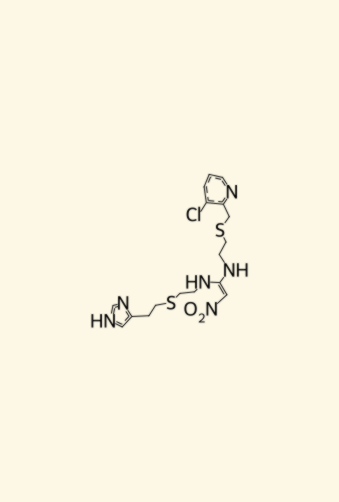 O=[N+]([O-])C=C(NCCSCCc1c[nH]cn1)NCCSCc1ncccc1Cl